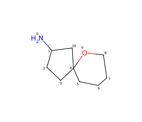 NC1CCC2(CCCCO2)C1